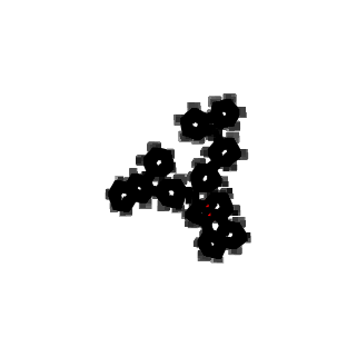 c1ccc(-c2cc3ccccc3cc2-c2ccc(N(c3ccc(-c4cccc(-n5c6ccccc6c6ccccc65)c4)cc3)c3ccc(-c4cccc5cccc(-c6ccccc6)c45)cc3)cc2)cc1